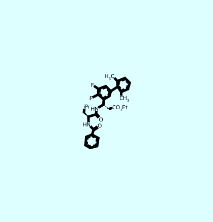 CCOC(=O)C[C@H](NC(=O)[C@H](CC(C)C)NC(=O)c1ccccc1)c1cc(-c2c(C)cccc2C)cc(F)c1F